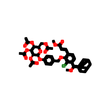 COC(=O)/C=C/c1ccc(C(OC)=C2C3CC4CC(C3)CC2C4)c(Cl)c1OCc1ccc(O[C@@H]2O[C@H](COC(C)=O)[C@H](OC(C)=O)[C@H](OC(C)=O)[C@H]2OC(C)=O)cc1